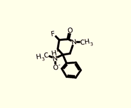 CN1CC(c2ccccc2)([NH+](C)[O-])CC(F)C1=O